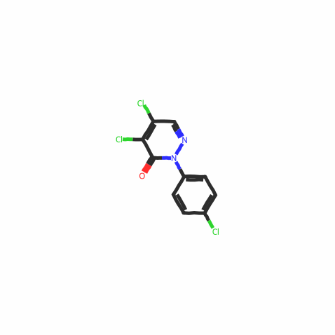 O=c1c(Cl)c(Cl)cnn1-c1ccc(Cl)cc1